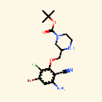 CC(C)(C)OC(=O)N1CCNC(COc2c(Cl)c(Br)cc(N)c2C#N)C1